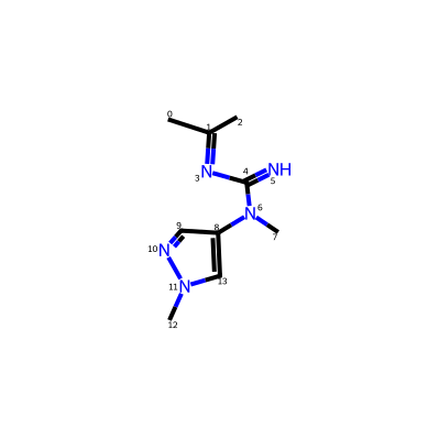 CC(C)=NC(=N)N(C)c1cnn(C)c1